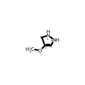 COC1=CNN[C]1